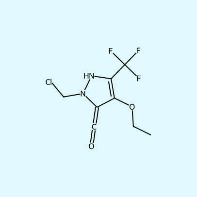 CCOC1=C(C(F)(F)F)NN(CCl)C1=C=O